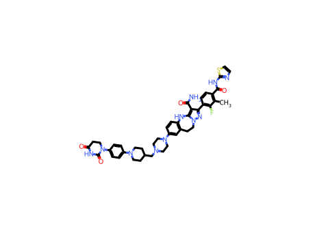 Cc1c(C(=O)Nc2nccs2)ccc(-c2nn3c(c2C(N)=O)Nc2ccc(N4CCN(CC5CCN(c6ccc(N7CCC(=O)NC7=O)cc6)CC5)CC4)cc2CC3)c1F